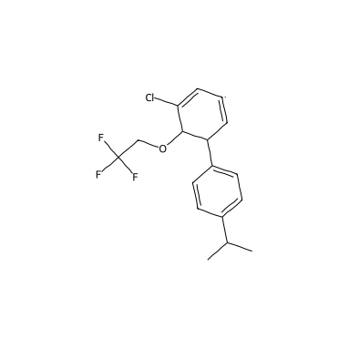 CC(C)c1ccc(C2C=[C]C=C(Cl)C2OCC(F)(F)F)cc1